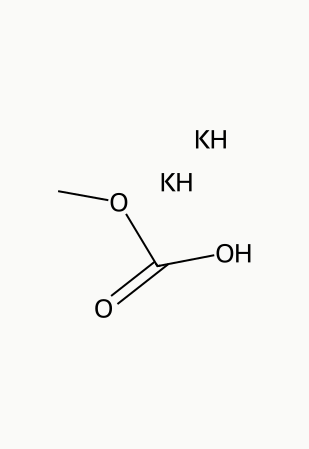 COC(=O)O.[KH].[KH]